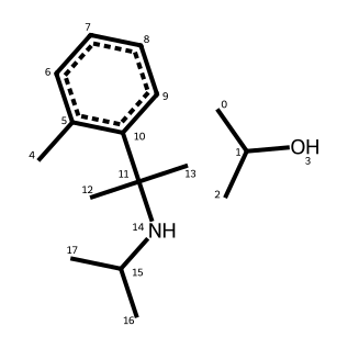 CC(C)O.Cc1ccccc1C(C)(C)NC(C)C